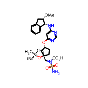 CO[C@H]1Cc2ccccc2[C@H]1Nc1cc(O[C@@H]2CC[C@](CN(C(=O)O)S(N)(=O)=O)(O[Si](C)(C)C(C)(C)C)C2)ncn1